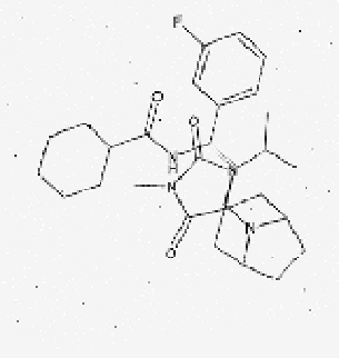 CC(C)N1C(=O)N(C)C(=O)C12CC1CCC(C2)N1CC[C@H](NC(=O)C1CCCCC1)c1cccc(F)c1